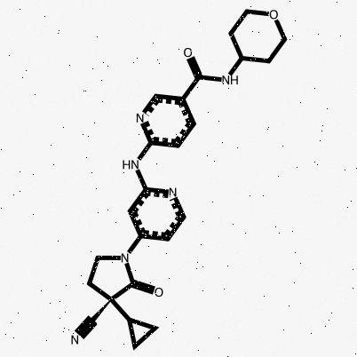 N#C[C@@]1(C2CC2)CCN(c2ccnc(Nc3ccc(C(=O)NC4CCOCC4)cn3)c2)C1=O